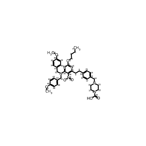 CCCCOc1nc(CCc2ccc(CN3CCN(C(=O)O)CC3)cc2)c([N+](=O)[O-])c(N(Cc2ccc(OC)cc2)Cc2ccc(OC)cc2)n1